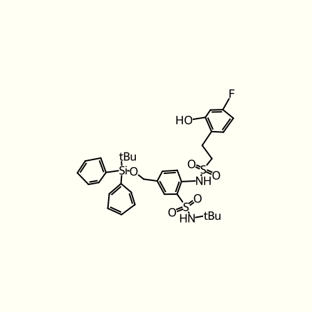 CC(C)(C)NS(=O)(=O)c1cc(CO[Si](c2ccccc2)(c2ccccc2)C(C)(C)C)ccc1NS(=O)(=O)CCc1ccc(F)cc1O